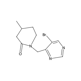 CC1CCN(Cc2ncncc2Br)C(=O)C1